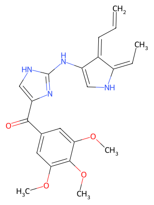 C=C/C=c1/c(Nc2nc(C(=O)c3cc(OC)c(OC)c(OC)c3)c[nH]2)c[nH]/c1=C/C